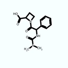 CN(C)C(=O)NC(C(=O)N1CCC1C(=O)O)c1ccccc1